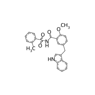 COc1ccc(Cc2c[nH]c3ccccc23)cc1C(=O)NS(=O)(=O)c1ccccc1C